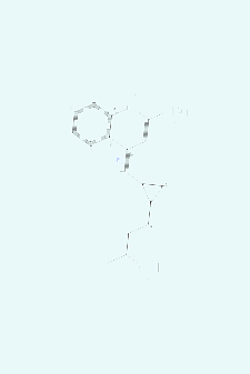 CC(O)CCC1CC1/C=C1\C=C(C(C)(C)C)Oc2ccccc21